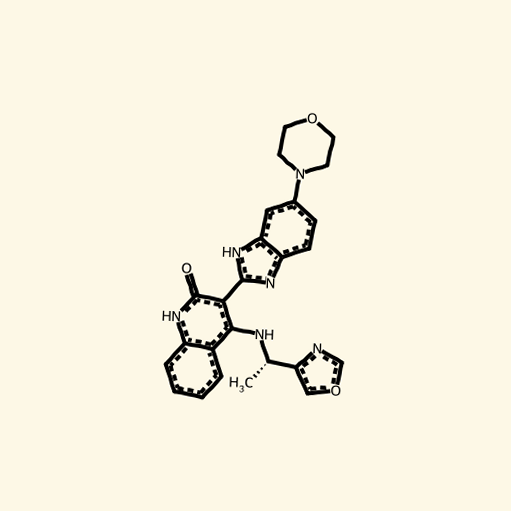 C[C@H](Nc1c(-c2nc3ccc(N4CCOCC4)cc3[nH]2)c(=O)[nH]c2ccccc12)c1cocn1